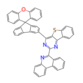 c1ccc2c(c1)Oc1ccccc1C21c2ccccc2-c2cc(-c3nc(-c4nc5ccccc5c5ccccc45)nc4c3sc3ccccc34)ccc21